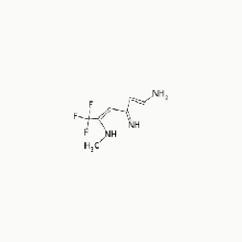 CN/C(=C\C(=N)/C=C/N)C(F)(F)F